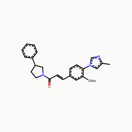 COc1cc(/C=C/C(=O)N2CCC(c3ccccc3)C2)ccc1-n1cnc(C)c1